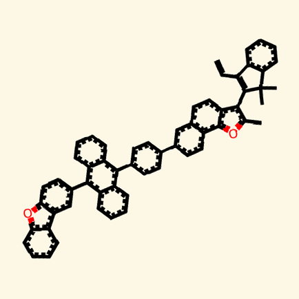 C=CC1=C(c2c(C)oc3c2ccc2cc(-c4ccc(-c5c6ccccc6c(-c6ccc7oc8ccccc8c7c6)c6ccccc56)cc4)ccc23)C(C)(C)c2ccccc21